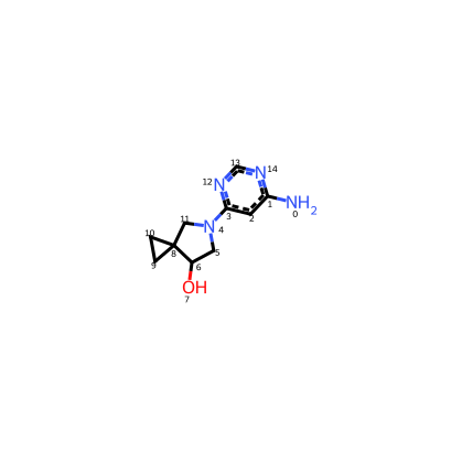 Nc1cc(N2CC(O)C3(CC3)C2)ncn1